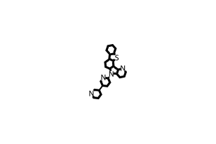 c1cncc(-c2ccc(-n3c4cccnc4c4c5sc6ccccc6c5ccc43)nc2)c1